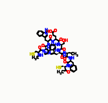 CC[C@H](NC(=O)[C@H](Cc1c[nH]c2ccccc12)NC(=O)[C@H](CO)NC(=O)[C@H](CCC(=O)O)NC(=O)[C@H](Cc1c[nH]c2ccccc12)NC(=O)[C@@H]1CCCN1C(=O)C(CS)NC)C(=O)N[C@@H](Cc1ccccc1)C(=O)N[C@@H](CS)C(C)=O